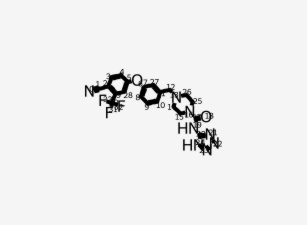 N#Cc1ccc(Oc2cccc(CN3CCN(C(=O)Nc4nnn[nH]4)CC3)c2)cc1C(F)(F)F